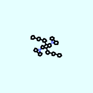 c1ccc(-c2ccc(-c3cccc(-c4c5ccc(-n6c7ccccc7c7ccccc76)cc5c(-c5cccc(-c6ccc(-c7ccccc7)cc6)c5)c5ccc(-n6c7ccccc7c7ccccc76)cc45)c3)cc2)cc1